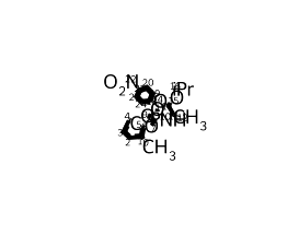 Cc1ccccc1OP(=O)(N[C@@H](C)C(=O)OC(C)C)Oc1ccc([N+](=O)[O-])cc1